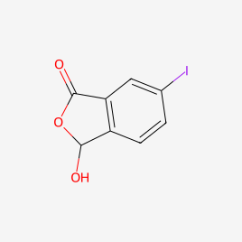 O=C1OC(O)c2ccc(I)cc21